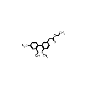 CCOC(=O)Cc1ccc(OC)c(-c2ccc(C)cc2CO)c1